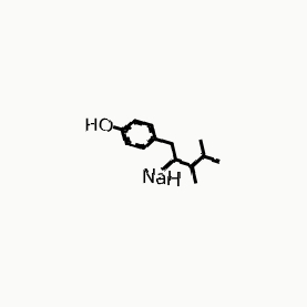 CC(C)C(C)C(C)Cc1ccc(O)cc1.[NaH]